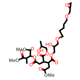 COC(=O)CC(C(=O)OCC(O)COCCCCCOCC1CO1)C(CC(=O)OC(C(=O)OC)C(C)C(=O)OC)C(=O)OCC(C)O